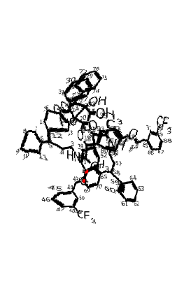 CC(NCCC(c1ccccc1)c1ccccc1)C(OC(=O)C(O)(C(=O)c1ccccc1)C(O)(C(=O)OC(c1ccc(OCc2cccc(C(F)(F)F)c2)cc1)C(C)NCCC(c1ccccc1)c1ccccc1)C(=O)c1ccccc1)c1ccc(OCc2cccc(C(F)(F)F)c2)cc1